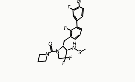 CSN[C@@H]1[C@H](Cc2cccc(-c3ccc(Br)c(F)c3)c2F)N(C(=O)N2CCC2)CC1(F)F